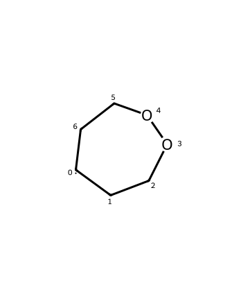 [CH]1CCOOCC1